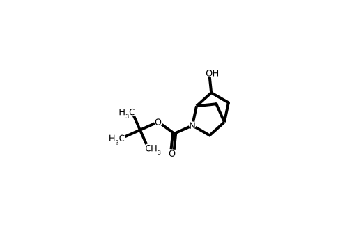 CC(C)(C)OC(=O)N1CC2CC(O)C1C2